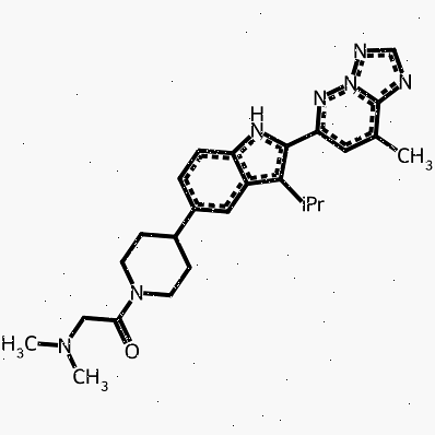 Cc1cc(-c2[nH]c3ccc(C4CCN(C(=O)CN(C)C)CC4)cc3c2C(C)C)nn2ncnc12